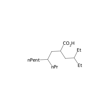 CCCCCC(CCC)CC(CC(CC)CC)C(=O)O